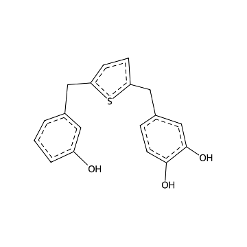 Oc1cccc(Cc2ccc(Cc3ccc(O)c(O)c3)s2)c1